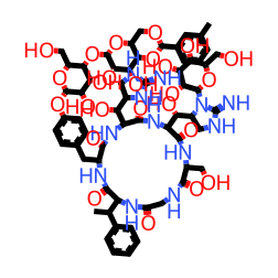 Cc1cccc(C2OCC3OC(OC4C(CO)OC(Oc5ccc(CC6NC(=O)C(C(C)c7ccccc7)NC(=O)CNC(=O)C(CO)NC(=O)C(C(O)C7CNC(=N)N7C7OC(CO)C(O)C(O)C7O)NC(=O)C(C(O)C7CNC(=N)N7)NC6=O)cc5)C(O)C4O)C(O)C(O)C3O2)c1